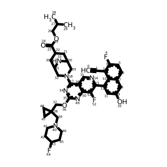 C#Cc1c(F)ccc2cc(O)cc(-c3ncc4c(N5CC6CC(C(=O)OCC(C)C)CC(C5)N6)nc(OCC5(CN6CCC(F)CC6)CC5)nc4c3F)c12